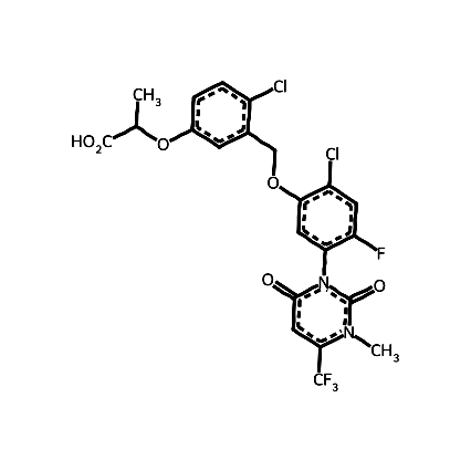 CC(Oc1ccc(Cl)c(COc2cc(-n3c(=O)cc(C(F)(F)F)n(C)c3=O)c(F)cc2Cl)c1)C(=O)O